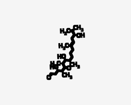 C=C(C)[C@@H](O)C/C=C(\C)CCC[C@H](C)[C@H](O)[C@@H](C)C(=O)[C@H](C)[C@@H](O)CC=O